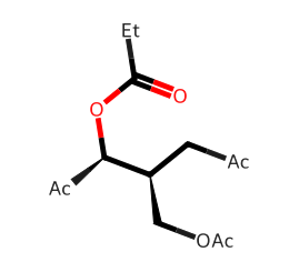 CCC(=O)O[C@H](C(C)=O)[C@H](COC(C)=O)CC(C)=O